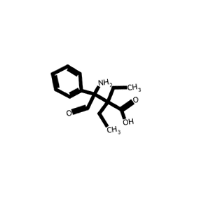 CCC(CC)(C(=O)O)C(N)(C=O)c1ccccc1